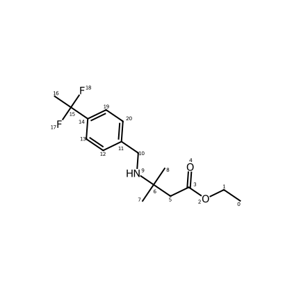 CCOC(=O)CC(C)(C)NCc1ccc(C(C)(F)F)cc1